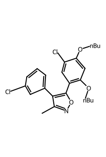 CCCCOc1cc(OCCCC)c(-c2onc(C)c2-c2cccc(Cl)c2)cc1Cl